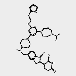 CC(=O)N1CCCN(c2nc(NCCc3cccs3)nc(N3CCC(N(C)Cc4ccc5c(c4)CN(N4CCC(=O)NC4=O)C5=O)CC3)n2)CC1